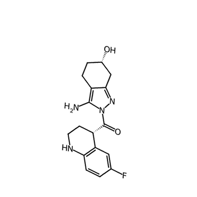 Nc1c2c(nn1C(=O)[C@H]1CCNc3ccc(F)cc31)C[C@@H](O)CC2